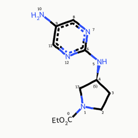 CCOC(=O)N1CC[C@H](Nc2ncc(N)cn2)C1